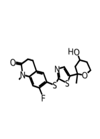 CN1C(=O)CCc2cc(Sc3ncc(C4(C)CC(O)CCO4)s3)c(F)cc21